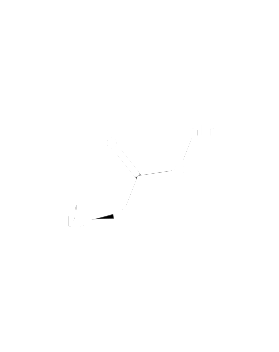 CCCOC(=O)O[C@H](C)CC